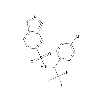 O=S(=O)(NC(c1ccc(Cl)cc1)C(F)(F)F)c1ccn2nncc2c1